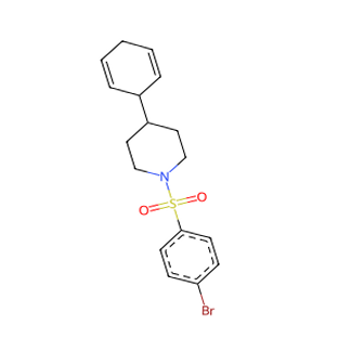 O=S(=O)(c1ccc(Br)cc1)N1CCC(C2C=CCC=C2)CC1